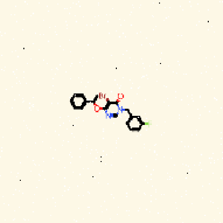 CC(Oc1ncn(Cc2cccc(F)c2)c(=O)c1Br)c1ccccc1